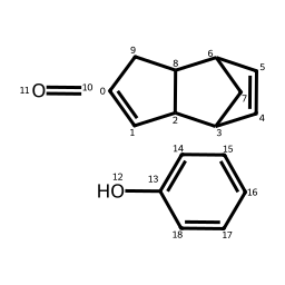 C1=CC2C3C=CC(C3)C2C1.C=O.Oc1ccccc1